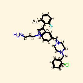 CC(=O)c1cccc(F)c1-c1cn(CCCN)c2ccc(CN3CCN(Cc4ccccc4Cl)CC3)cc12